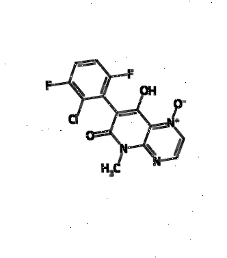 Cn1c(=O)c(-c2c(F)ccc(F)c2Cl)c(O)c2c1ncc[n+]2[O-]